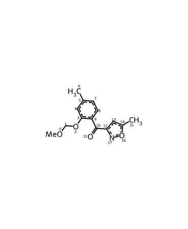 COCOc1cc(C)ccc1C(=O)c1cc(C)on1